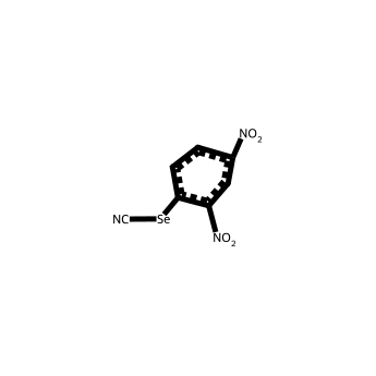 N#C[Se]c1ccc([N+](=O)[O-])cc1[N+](=O)[O-]